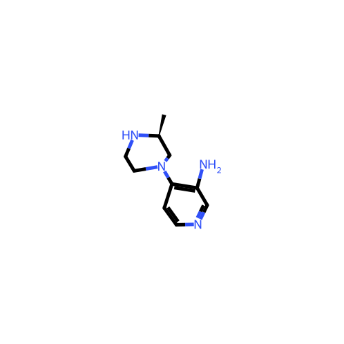 C[C@H]1CN(c2ccncc2N)CCN1